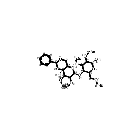 CCCCOCC1O[C@@H](O)C(OCCCC)C(OCCCC)[C@@H]1O[C@@H]1OC2COC(c3ccccc3)O[C@@H]2C(OCCCC)C1OCCCC